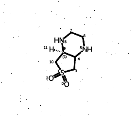 O=S1(=O)CC2NCCN[C@@H]2C1